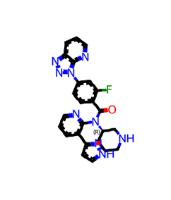 O=C(c1ccc(-n2nnc3cccnc32)cc1F)N(c1ncccc1-c1cc[nH]n1)[C@@H]1CCCNC1